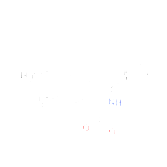 CCCCCCC(NC(CCCC)C(=O)O)c1ccccc1